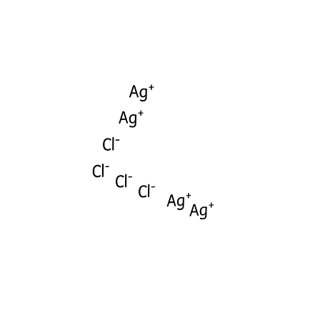 [Ag+].[Ag+].[Ag+].[Ag+].[Cl-].[Cl-].[Cl-].[Cl-]